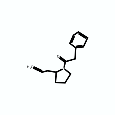 C=CCC1CCCN1C(=O)Cc1ccccc1